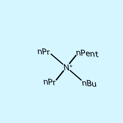 CCCCC[N+](CCC)(CCC)CCCC